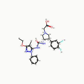 CCOc1nn(-c2ccccc2)c(NC(=O)N[C@@H]2CN(CC(=O)O)C[C@H]2c2ccc(F)c(F)c2)c1C